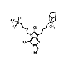 CCCCOc1nc(N)c2c(n1)c(CCCCCN1C3CCC1CN(C)C3)c(C#N)n2COCC[Si](C)(C)C